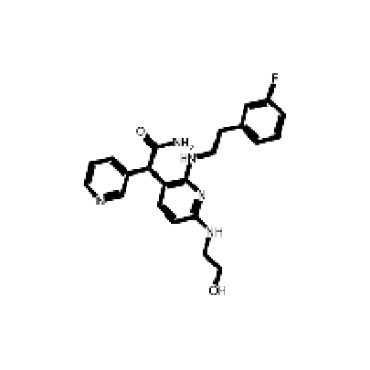 NC(=O)C(c1cccnc1)c1ccc(NCCO)nc1NCCc1cccc(F)c1